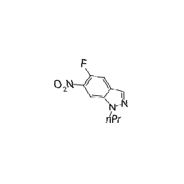 CCCn1ncc2cc(F)c([N+](=O)[O-])cc21